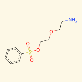 NCCOCCOS(=O)(=O)c1ccccc1